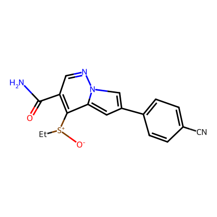 CC[S+]([O-])c1c(C(N)=O)cnn2cc(-c3ccc(C#N)cc3)cc12